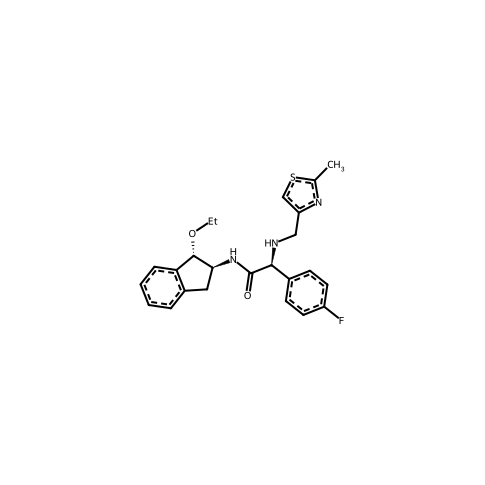 CCO[C@H]1c2ccccc2C[C@@H]1NC(=O)[C@@H](NCc1csc(C)n1)c1ccc(F)cc1